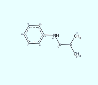 CC(C)SNc1ccccc1